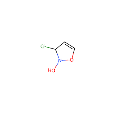 ON1OC=CC1Cl